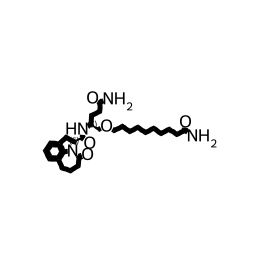 NC(=O)CCCCCCCCCOC[C@H](CCC(N)=O)NC(=O)[C@@H]1Cc2cccc3c2N1C(=O)CCC3